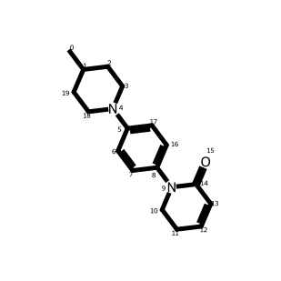 CC1CCN(c2ccc(N3CCC=CC3=O)cc2)CC1